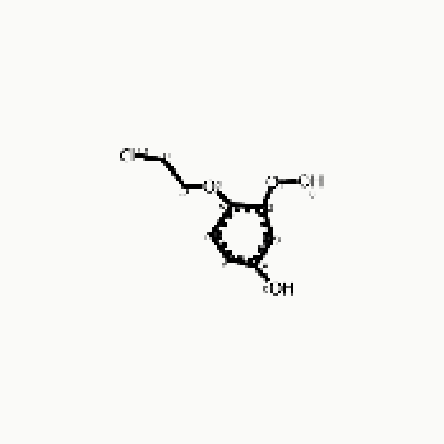 OOc1cc(O)ccc1OCCCl